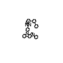 c1ccc(-c2cccc(-c3cccn4nc(-c5ccc(-n6c7ccccc7c7ccc8c(ccn8-c8ccccc8)c76)cc5)nc34)c2)cc1